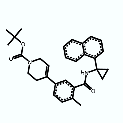 Cc1ccc(C2=CCN(C(=O)OC(C)(C)C)CC2)cc1C(=O)NC1(c2cccc3ccccc23)CC1